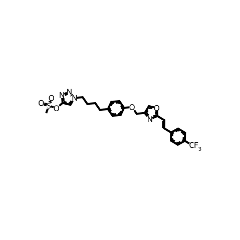 CS(=O)(=O)Oc1cn(CCCCc2ccc(OCc3coc(C=Cc4ccc(C(F)(F)F)cc4)n3)cc2)nn1